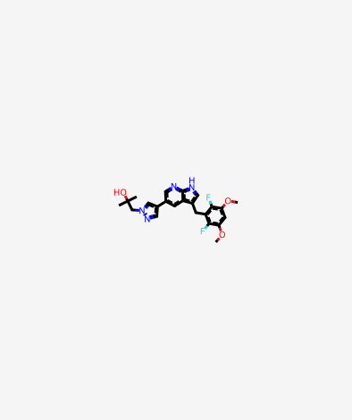 COc1cc(OC)c(F)c(Cc2c[nH]c3ncc(-c4cnn(CC(C)(C)O)c4)cc23)c1F